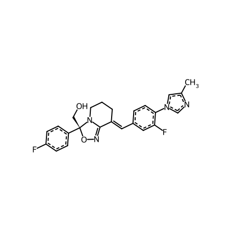 Cc1cn(-c2ccc(/C=C3\CCCN4C3=NO[C@]4(CO)c3ccc(F)cc3)cc2F)cn1